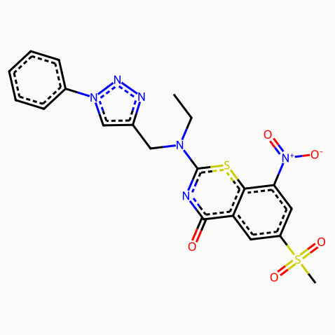 CCN(Cc1cn(-c2ccccc2)nn1)c1nc(=O)c2cc(S(C)(=O)=O)cc([N+](=O)[O-])c2s1